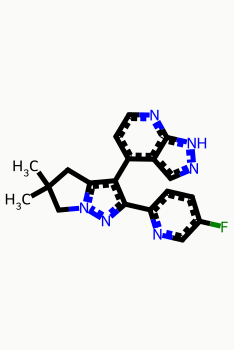 CC1(C)Cc2c(-c3ccnc4[nH]ncc34)c(-c3ccc(F)cn3)nn2C1